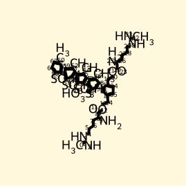 CC(=N)NCCCCC(N)C(=O)OCCc1ccc(CCOC(=O)C(N)CCCCNC(C)=N)cc1.Cc1ccc(S(=O)(=O)O)cc1.Cc1ccc(S(=O)(=O)O)cc1.Cc1ccc(S(=O)(=O)O)cc1.Cc1ccc(S(=O)(=O)O)cc1